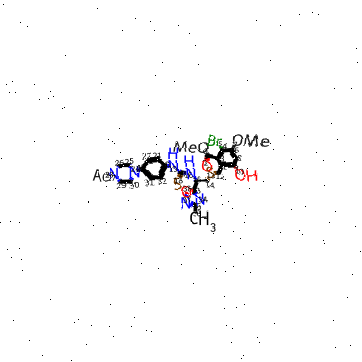 COC(=O)c1c(Br)c(OC)cc(O)c1CSC[C@H](NC(=S)Nc1ccc(N2CCN(C(C)=O)CC2)cc1)c1nc(C)no1